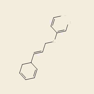 C/C=C\C(=C/C)NC/C=C/C1C=CC=CC1